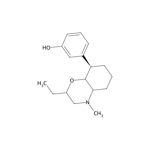 CCC1CN(C)C2CCC[C@H](c3cccc(O)c3)C2O1